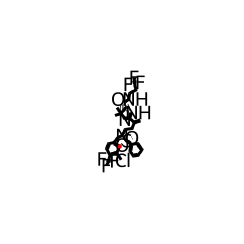 C=C(CCN(Cc1ccc(C(F)(F)F)c(Cl)c1)S(=O)(=O)c1ccccc1)C1=NC(C)(C)[C@H](C(=O)NCCC(F)(F)F)N1